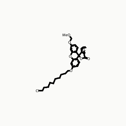 COCOc1ccc2c(c1)Oc1cc(OCCCCCCCCCCCl)ccc1C21OC(=O)c2ccccc21